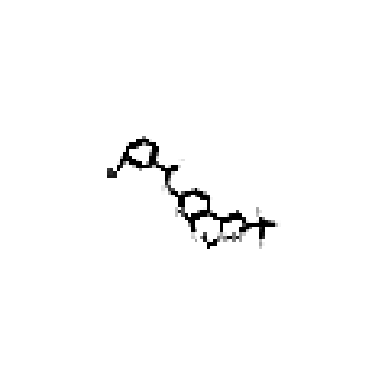 Cn1nc(C(F)(F)F)cc1-c1ccc(NC(=O)c2cccc(Br)c2)nc1N